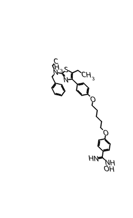 CCc1sc(N(CC)Cc2ccccc2)nc1-c1ccc(OCCCCCOc2ccc(C(=N)NO)cc2)cc1